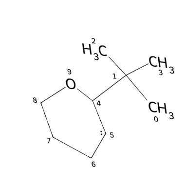 CC(C)(C)C1[C]CCCO1